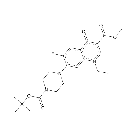 CCn1cc(C(=O)OC)c(=O)c2cc(F)c(N3CCN(C(=O)OC(C)(C)C)CC3)cc21